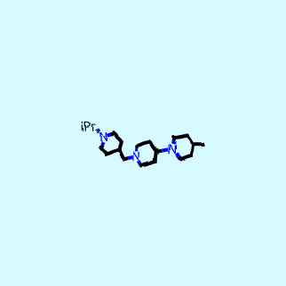 CC1CCN(C2CCN(CC3CCN(C(C)C)CC3)CC2)CC1